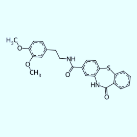 COc1ccc(CCNC(=O)c2ccc3c(c2)NC(=O)c2ccccc2S3)cc1OC